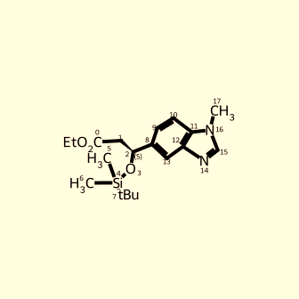 CCOC(=O)C[C@H](O[Si](C)(C)C(C)(C)C)c1ccc2c(c1)ncn2C